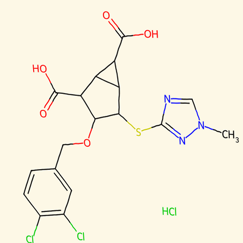 Cl.Cn1cnc(SC2C(OCc3ccc(Cl)c(Cl)c3)C(C(=O)O)C3C(C(=O)O)C23)n1